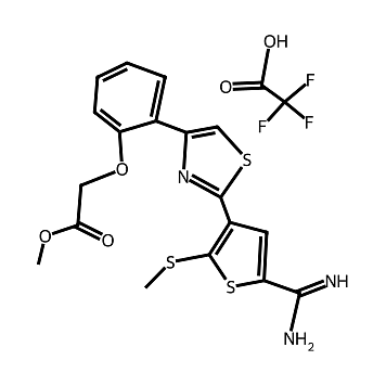 COC(=O)COc1ccccc1-c1csc(-c2cc(C(=N)N)sc2SC)n1.O=C(O)C(F)(F)F